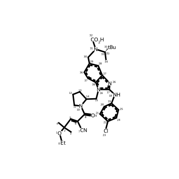 CCOC(C)(C)C=C(C#N)C(=O)N1CCCC1Cn1c(Nc2ccc(Cl)cc2)nc2cc(CN(C(=O)O)[C@@H](C)C(C)(C)C)ccc21